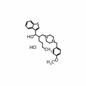 CCCCC(CN1CCN(Cc2ccc(OC)cc2)CC1)C(O)c1csc2ccccc12.Cl